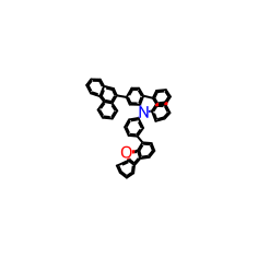 c1ccc(-c2ccc(-c3cc4ccccc4c4ccccc34)cc2N(c2ccccc2)c2cccc(-c3cccc4c3oc3ccccc34)c2)cc1